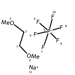 COCCOC.F[P-](F)(F)(F)(F)F.[Na+]